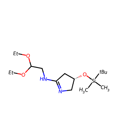 CCOC(CNC1=NC[C@@H](O[Si](C)(C)C(C)(C)C)C1)OCC